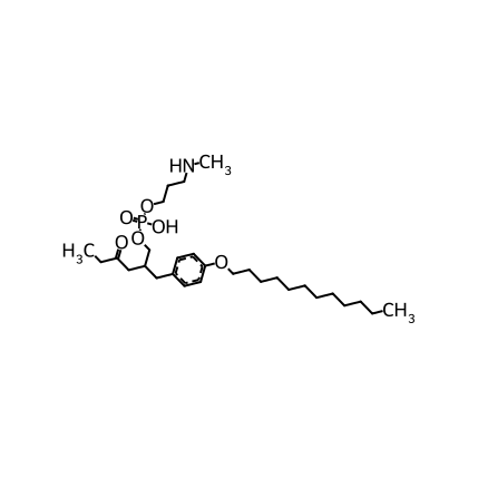 CCCCCCCCCCCCOc1ccc(CC(COP(=O)(O)OCCCNC)CC(=O)CC)cc1